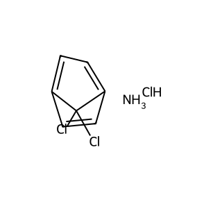 Cl.ClC1(Cl)C2=CC=C1C=C2.N